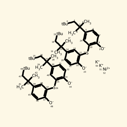 CC(C)(C)CC(C)(C)c1ccc([O-])c(Sc2cc(C(C)(C)CC(C)(C)C)ccc2[O-])c1.CC(C)(C)CC(C)(C)c1ccc([O-])c(Sc2cc(C(C)(C)CC(C)(C)C)ccc2[O-])c1.[K+].[K+].[Ni+2]